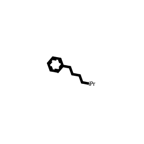 CC(C)CCCCc1[c]cccc1